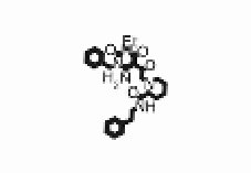 CCn1c(=O)c(C(=O)CN2CCCCC2C(=O)NCCc2ccccc2)c(N)n(Cc2ccccc2)c1=O